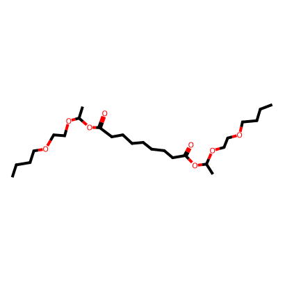 CCCCOCCOC(C)OC(=O)CCCCCCCC(=O)OC(C)OCCOCCCC